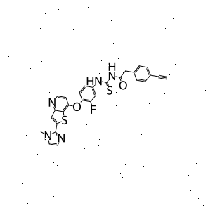 C#Cc1ccc(CC(=O)NC(=S)Nc2ccc(Oc3ccnc4cc(-c5nccn5C)sc34)c(F)c2)cc1